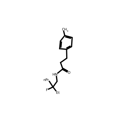 CCCC(F)(CC)CNC(=O)CCc1ccc(C)cc1